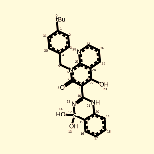 CC(C)(C)c1ccc(Cn2c(=O)c(C3=NS(O)(O)c4ccccc4N3)c(O)c3cccnc32)cc1